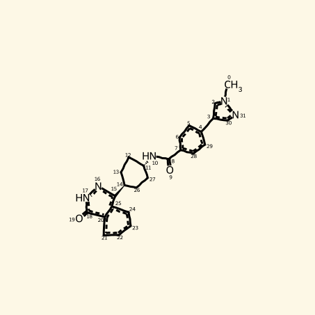 Cn1cc(-c2ccc(C(=O)N[C@H]3CC[C@H](c4n[nH]c(=O)c5ccccc54)CC3)cc2)cn1